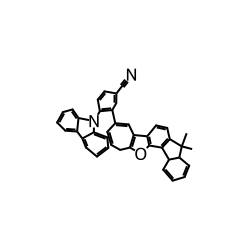 CC1(C)c2ccc3c4c(oc3c2C2C=CC=CC21)CC=CC(c1cc(C#N)ccc1-n1c2ccccc2c2ccccc21)=C4